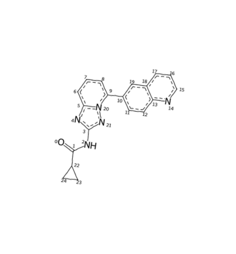 O=C(Nc1nc2cccc(-c3ccc4ncccc4c3)n2n1)C1CC1